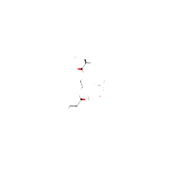 C=C(C)C(=O)OCCOC(=O)CCC(=O)O.C[SiH](C)O[SiH3]